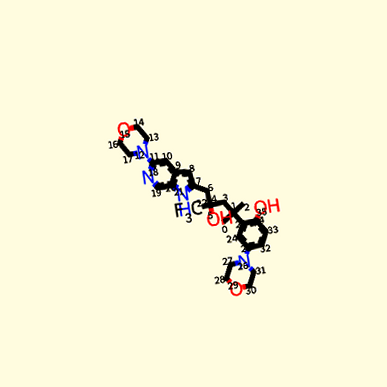 CC(C)(CC(O)(Cc1cc2cc(N3CCOCC3)ncc2[nH]1)C(F)(F)F)c1cc(N2CCOCC2)ccc1O